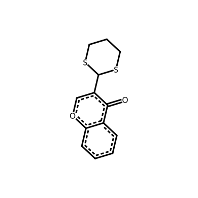 O=c1c(C2SCCCS2)coc2ccccc12